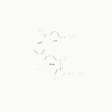 CCN(c1ccc(OC)cc1)c1cccc(-c2cc(C)c(C(=O)NC(C)C(=O)O)c(C)c2)c1